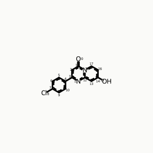 O=c1cc(-c2ccc(Cl)cc2)nc2cc(O)ccn12